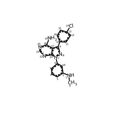 CNc1cccc(-n2nc(-c3ccc(Cl)cc3)c3c(N)ncnc32)c1